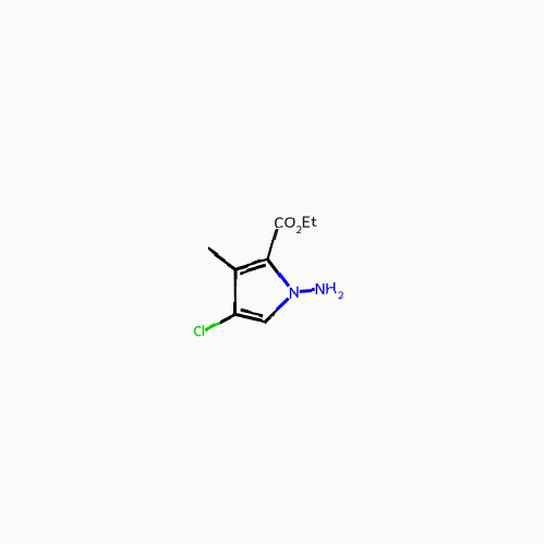 CCOC(=O)c1c(C)c(Cl)cn1N